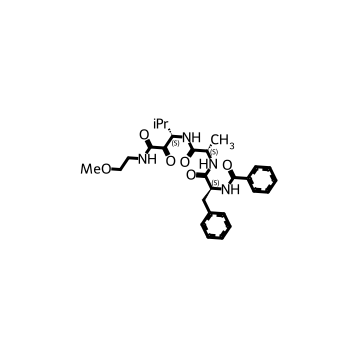 COCCNC(=O)C(=O)[C@@H](NC(=O)[C@H](C)NC(=O)[C@H](Cc1ccccc1)NC(=O)c1ccccc1)C(C)C